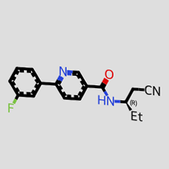 CC[C@H](CC#N)NC(=O)c1ccc(-c2cccc(F)c2)nc1